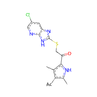 CC(=O)c1c(C)[nH]c(C(=O)CSc2nc3cc(Cl)cnc3[nH]2)c1C